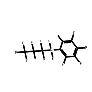 Fc1c(F)c(F)c([N+](F)(F)C(F)(F)C(F)(F)C(F)(F)F)c(F)c1F